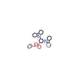 O=C(OCC1CC2C=CC1C2)c1cc(-n2c3c(c4ccccc42)C=CCC3)cc(-n2c3ccccc3c3ccccc32)c1